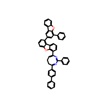 C1=C(c2cccc3c2oc2cccc(-c4cc(-c5ccccc5)c5oc6ccccc6c5c4)c23)/N=C(c2ccccc2)\N=C(\c2ccc(-c3ccccc3)cc2)CC\1